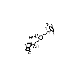 COc1ccc2nccc([C@@H](O)CC[C@@H]3CCN(CCCSc4c(F)cc(F)c(F)c4F)C[C@@H]3CC(=O)O)c2c1